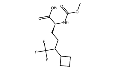 COC(=O)N[C@@H](CCC(C1CCC1)C(F)(F)F)C(=O)O